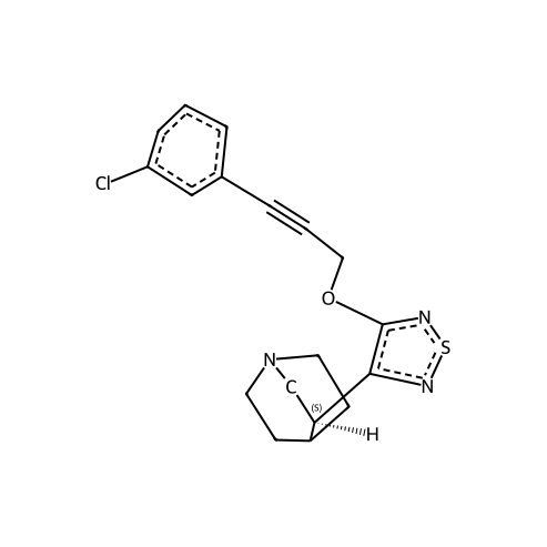 Clc1cccc(C#CCOc2nsnc2[C@@H]2CN3CCC2CC3)c1